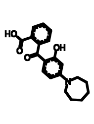 O=C(O)c1ccccc1C(=O)c1ccc(N2CCCCCC2)cc1O